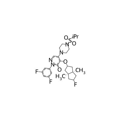 CC(C)S(=O)(=O)N1CCN(c2cnn(-c3cc(F)cc(F)c3)c(=O)c2OC2C[C@]3(C)CC(F)C[C@]3(C)C2)CC1